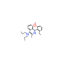 CCCN(CCC)c1c(C)nc(-c2c(CC)cccc2OC)c2ccccc12